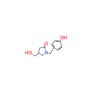 O=C1CC(CO)CN1Cc1ccc(O)cc1